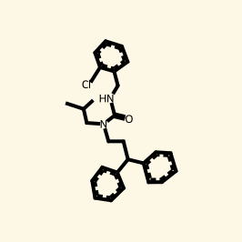 CC(C)CN(CCC(c1ccccc1)c1ccccc1)C(=O)NCc1ccccc1Cl